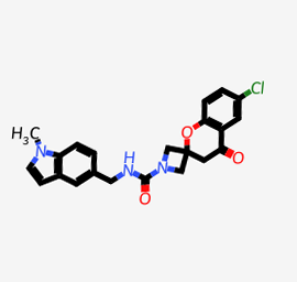 Cn1ccc2cc(CNC(=O)N3CC4(CC(=O)c5cc(Cl)ccc5O4)C3)ccc21